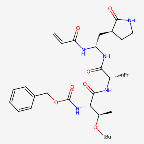 C=CC(=O)N[C@H](C[C@@H]1CCNC1=O)NC(=O)[C@H](CCC)NC(=O)[C@@H](NC(=O)OCc1ccccc1)[C@@H](C)OC(C)(C)C